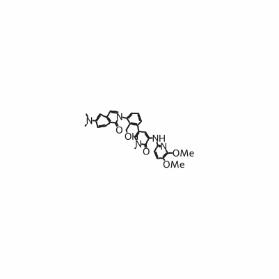 COc1ccc(Nc2cc(-c3cccc(-n4ccc5cc(N(C)C)ccc5c4=O)c3CO)cn(C)c2=O)nc1OC